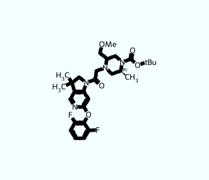 COCC1CN(C(=O)OC(C)(C)C)[C@H](C)CN1CC(=O)N1CC(C)(C)c2cnc(Oc3c(F)cccc3F)cc21